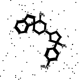 C[C@H]1CN(C2CCC(C)(c3ccc(C(=O)O)cc3)C2)CCC12C=Cc1ccccc12